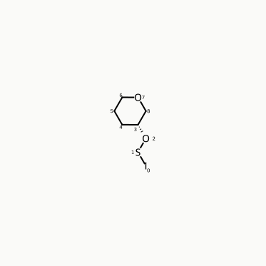 ISO[C@@H]1CCCOC1